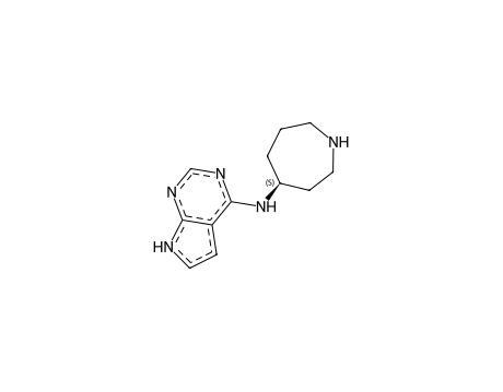 c1nc(N[C@H]2CCCNCC2)c2cc[nH]c2n1